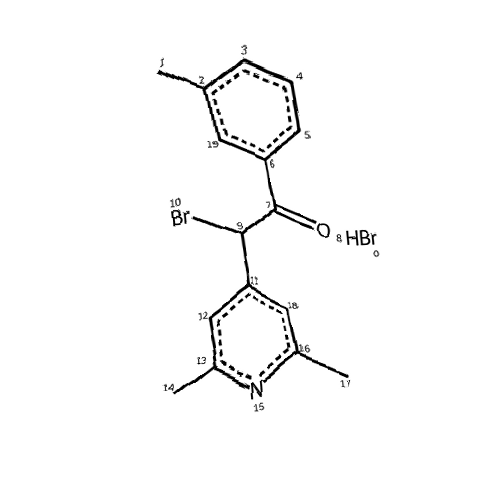 Br.Cc1cccc(C(=O)C(Br)c2cc(C)nc(C)c2)c1